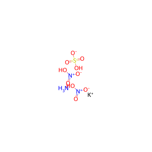 N.O=S(=O)([O-])O.O=[N+]([O-])O.O=[N+]([O-])O.[K+]